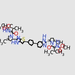 COC(=O)N[C@H](C(=O)N1C[C@@H](C)CC1c1nc2sc(-c3ccc(-c4ccc5nc([C@@H]6CC[C@H](C)N6C(=O)[C@@H](NC(=O)OC)C(C)C)[nH]c5c4)cc3)cc2[nH]1)C(C)C